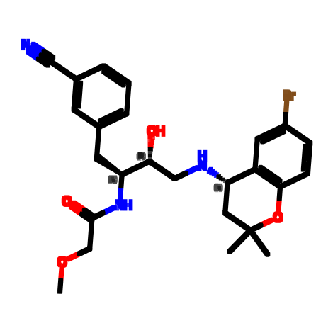 COCC(=O)N[C@@H](Cc1cccc(C#N)c1)[C@H](O)CN[C@H]1CC(C)(C)Oc2ccc(Br)cc21